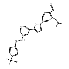 CN(C)Cc1cc(-c2ccc(-c3cncc(NSc4ccc(C(F)(F)F)cc4)c3)s2)ccc1C=O